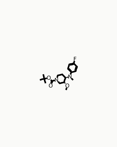 CO[C@H]1CN(C(=O)OC(C)(C)C)CC[C@H]1N(C)c1ccc(F)cc1